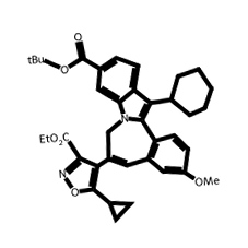 CCOC(=O)c1noc(C2CC2)c1C1=Cc2cc(OC)ccc2-c2c(C3CCCCC3)c3ccc(C(=O)OC(C)(C)C)cc3n2C1